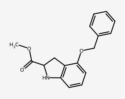 COC(=O)C1Cc2c(cccc2OCc2ccccc2)N1